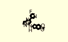 Fc1cncc(-c2cc(NC3Cc4cc5c(cc4C3)OCO5)n3nccc3n2)c1